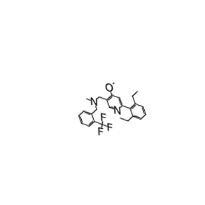 CCc1cccc(CC)c1-c1cc(OC)c(CN(C)Cc2ccccc2C(F)(F)F)cn1